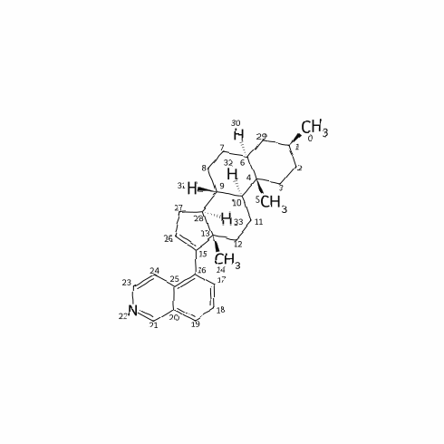 C[C@H]1CC[C@@]2(C)[C@@H](CC[C@@H]3[C@@H]2CC[C@]2(C)C(c4cccc5cnccc45)=CC[C@@H]32)C1